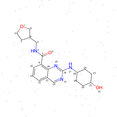 O=C(NCC1CCOC1)c1cccc2cnc(NC3CCC(O)CC3)nc12